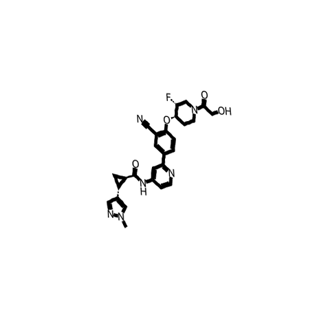 Cn1cc([C@@H]2C[C@H]2C(=O)Nc2ccnc(-c3ccc(O[C@H]4CCN(C(=O)CO)C[C@H]4F)c(C#N)c3)c2)cn1